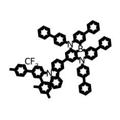 Cc1ccc(-c2cc(-c3ccc(C)cc3C(F)(F)F)ccc2-n2c3ccccc3c3cc(-c4cc5c6c(c4)N(c4ccc(-c7ccccc7)cc4)c4ccc(-c7ccccc7)cc4B6c4cc(-c6ccccc6)ccc4N5c4ccc(-c5ccccc5)cc4)ccc32)c(C)c1